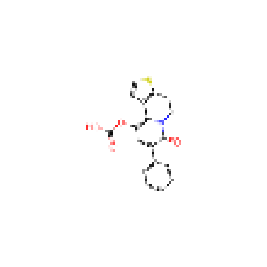 O=C(O)Oc1cc(-c2ccccc2)c(=O)n2c1-c1ccsc1CC2